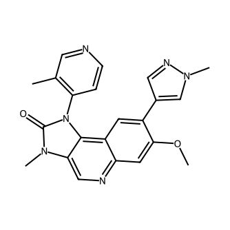 COc1cc2ncc3c(c2cc1-c1cnn(C)c1)n(-c1ccncc1C)c(=O)n3C